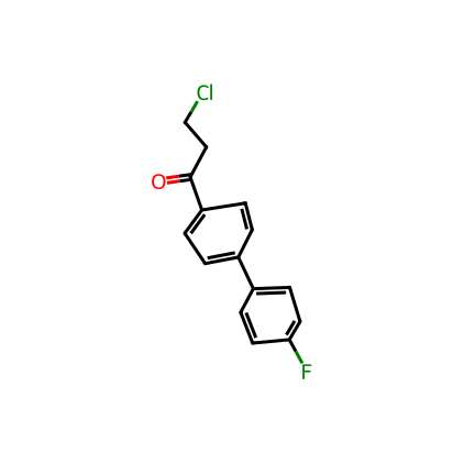 O=C(CCCl)c1ccc(-c2ccc(F)cc2)cc1